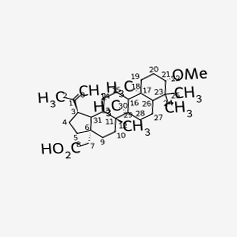 C=C(C)[C@@H]1CC[C@]2(CC(=O)O)CC[C@]3(C)C(CCC4[C@@]5(C)CC[C@H](OC)C(C)(C)C5CC[C@]43C)C12